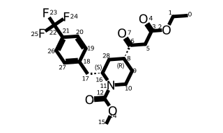 CCOC(=O)CC(=O)[C@@H]1CCN(C(=O)OC)[C@H](Cc2ccc(C(F)(F)F)cc2)C1